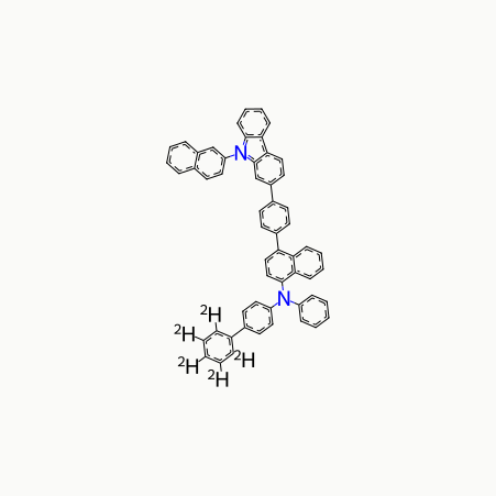 [2H]c1c([2H])c([2H])c(-c2ccc(N(c3ccccc3)c3ccc(-c4ccc(-c5ccc6c7ccccc7n(-c7ccc8ccccc8c7)c6c5)cc4)c4ccccc34)cc2)c([2H])c1[2H]